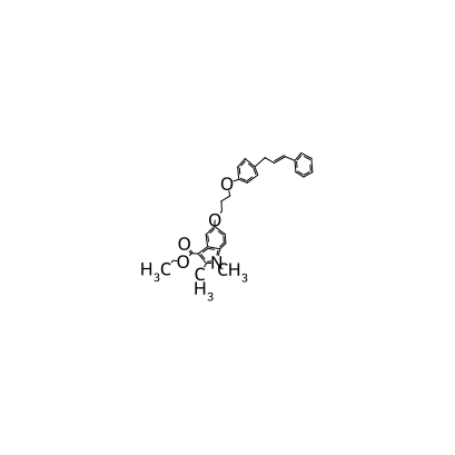 CCOC(=O)c1c(C)n(C)c2ccc(OCCCOc3ccc(CC=Cc4ccccc4)cc3)cc12